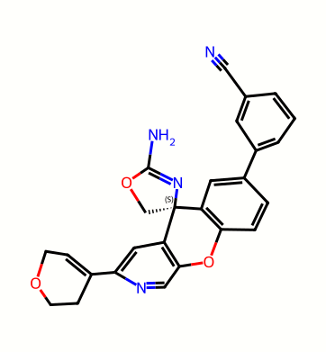 N#Cc1cccc(-c2ccc3c(c2)[C@@]2(COC(N)=N2)c2cc(C4=CCOCC4)ncc2O3)c1